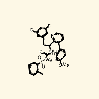 COc1ccc(-c2cccnc2C(Cc2cc(F)cc(F)c2)NC(=O)NS(=O)(=O)c2ccccc2C)cc1